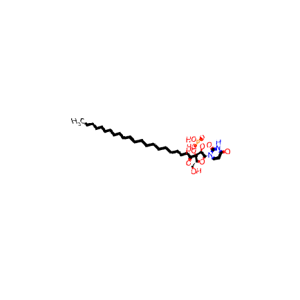 CCCCCCCCCCCCCCCCCCCCCC(=O)[C@@]1(O)[C@@H](CO)O[C@@H](n2ccc(=O)[nH]c2=O)[C@@H]1OP(=O)(O)O